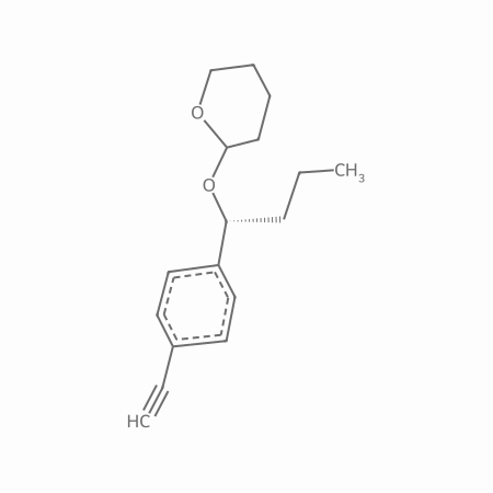 C#Cc1ccc([C@@H](CCC)OC2CCCCO2)cc1